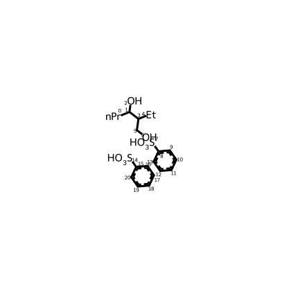 CCCC(O)C(CC)CO.O=S(=O)(O)c1ccccc1.O=S(=O)(O)c1ccccc1